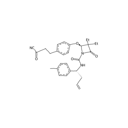 C=CC[C@@H](NC(=O)N1C(=O)C(CC)(CC)[C@@H]1Oc1ccc(CCC(=O)C#N)cc1)c1ccc(C)cc1